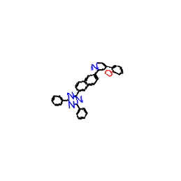 c1ccc(-c2nc(-c3ccccc3)nc(-c3ccc4cc(-c5nccc6c5oc5ccccc56)ccc4c3)n2)cc1